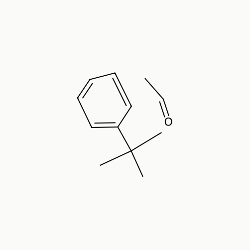 CC(C)(C)c1ccccc1.CC=O